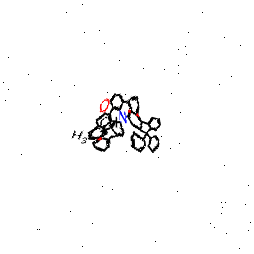 CC1(C)c2ccccc2-c2ccc(N(c3ccc4c(c3)C(c3ccccc3)(c3ccccc3)c3ccccc3-4)c3c(-c4ccccc4)ccc4oc5cc6ccccc6cc5c34)cc21